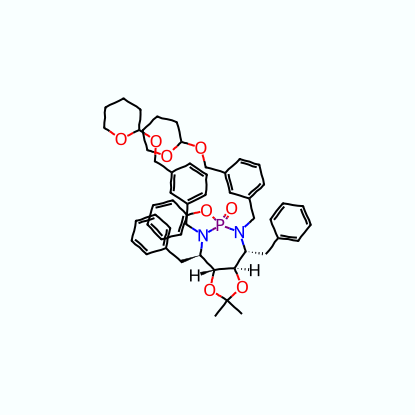 CC1(C)O[C@H]2[C@H](O1)[C@@H](Cc1ccccc1)N(Cc1cccc(COC3CCCCO3)c1)P(=O)(Oc1ccccc1)N(Cc1cccc(COC3CCCCO3)c1)[C@@H]2Cc1ccccc1